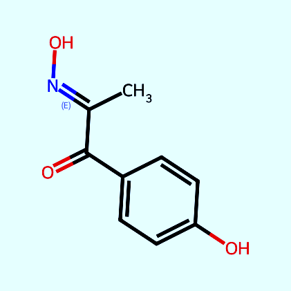 C/C(=N\O)C(=O)c1ccc(O)cc1